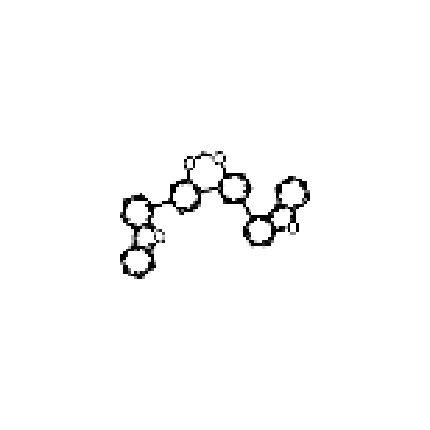 c1ccc2c(c1)oc1c(-c3ccc4c(c3)OCOc3ccc(-c5cccc6oc7ccccc7c56)cc3-4)cccc12